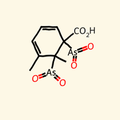 CC1=CC=CC(C(=O)O)([As](=O)=O)C1(C)[As](=O)=O